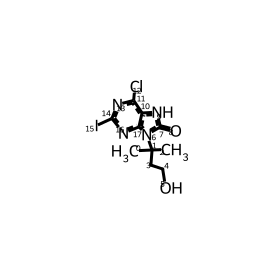 CC(C)(CCO)n1c(=O)[nH]c2c(Cl)nc(I)nc21